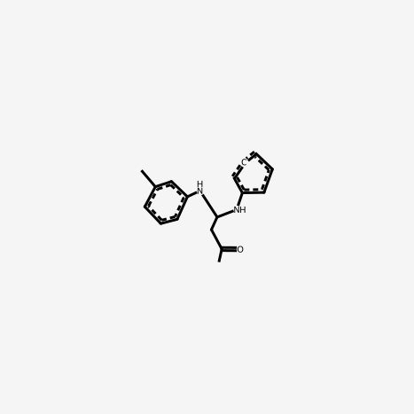 CC(=O)CC(Nc1ccccc1)Nc1cccc(C)c1